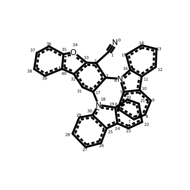 N#Cc1c(-n2c3ccccc3c3ccccc32)c(-n2c3ccccc3c3ccccc32)cc2c1oc1ccccc12